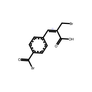 O=C(O)/C(=C\c1ccc(C(=O)Br)cc1)CBr